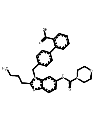 CCCCc1nc2ccc(NC(=O)N3CCOCC3)cc2n1Cc1ccc(-c2ccccc2C(=O)O)cc1